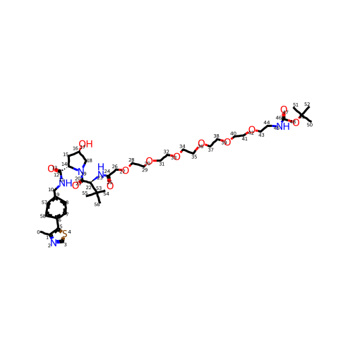 Cc1ncsc1-c1ccc(CNC(=O)[C@@H]2C[C@@H](O)CN2C(=O)[C@@H](NC(=O)COCCOCCOCCOCCOCCOCCNC(=O)OC(C)(C)C)C(C)(C)C)cc1